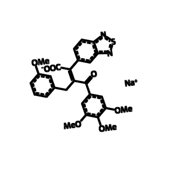 COc1cccc(CC(C(=O)c2cc(OC)c(OC)c(OC)c2)=C(C(=O)[O-])c2ccc3nsnc3c2)c1.[Na+]